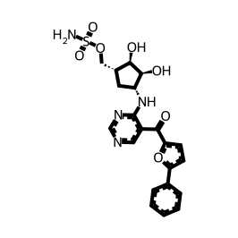 NS(=O)(=O)OC[C@H]1C[C@@H](Nc2ncncc2C(=O)c2ccc(-c3ccccc3)o2)[C@H](O)[C@@H]1O